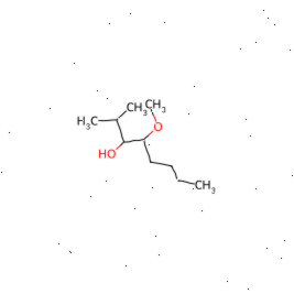 CCCCC(OC)C(O)C(C)C